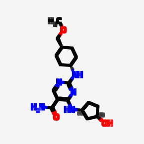 COC[C@H]1CC[C@H](Nc2ncc(C(N)=O)c(N[C@H]3CC[C@@H](O)C3)n2)CC1